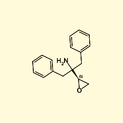 NC(Cc1ccccc1)(Cc1ccccc1)[C@H]1CO1